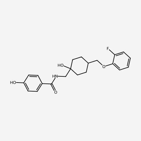 O=C(NCC1(O)CCC(COc2ccccc2F)CC1)c1ccc(O)cc1